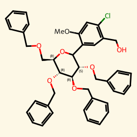 COc1cc(Cl)c(CO)cc1C1O[C@H](COCc2ccccc2)[C@@H](OCc2ccccc2)[C@H](OCc2ccccc2)[C@H]1OCc1ccccc1